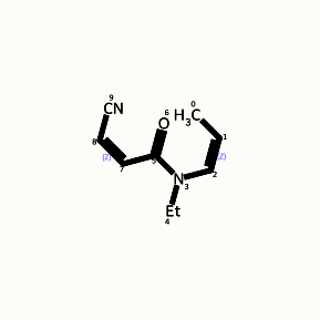 C/C=C\N(CC)C(=O)/C=C\C#N